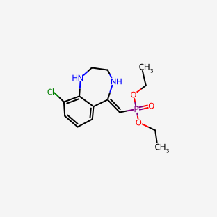 CCOP(=O)(/C=C1\NCCNc2c(Cl)cccc21)OCC